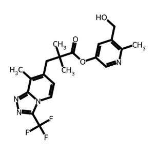 Cc1ncc(OC(=O)C(C)(C)Cc2ccn3c(C(F)(F)F)nnc3c2C)cc1CO